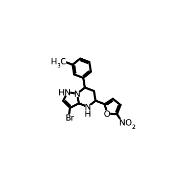 Cc1cccc(C2CC(c3ccc([N+](=O)[O-])o3)NC3C(Br)=CNN32)c1